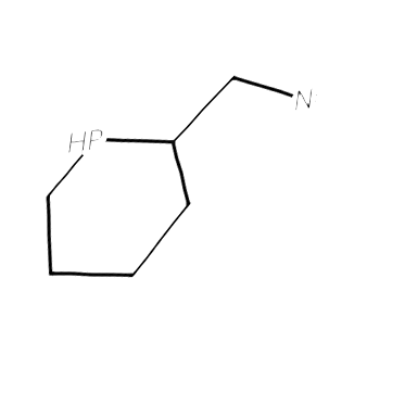 [N]CC1CCCCP1